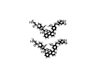 CNCC(=O)N1CCc2c(nc(C(=O)Nc3cccc(-c4ccnc(-c5ccc(CN6CC7(CNC(=O)C7)C6)c(OC)c5)c4Cl)c3Cl)n2C)C1.CNCC(=O)N1CCc2c(nc(C(=O)Nc3cccc(-c4ccnc(-c5ccc(CN6CC7(CNC(=O)C7)C6)c(OC)c5)c4Cl)c3Cl)n2C)C1